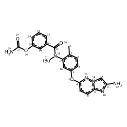 Cc1ccc(Oc2ccc3nc(N)cn3n2)cc1N(C(=O)c1cccc(OC(N)=O)c1)C(C)(C)C